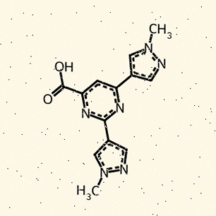 Cn1cc(-c2cc(C(=O)O)nc(-c3cnn(C)c3)n2)cn1